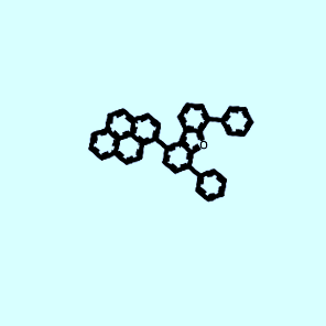 c1ccc(-c2cccc3c2oc2c(-c4ccccc4)ccc(-c4ccc5ccc6cccc7ccc4c5c67)c23)cc1